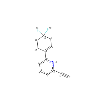 C#Cc1cccc(C2=CCC(F)(F)CC2)n1